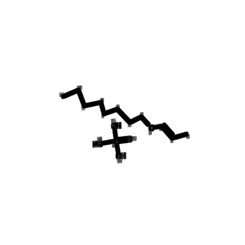 CC=COCCCCCCCC.O=P(O)(O)O